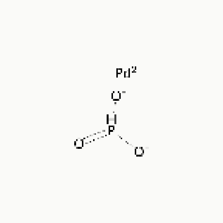 O=[PH]([O-])[O-].[Pd+2]